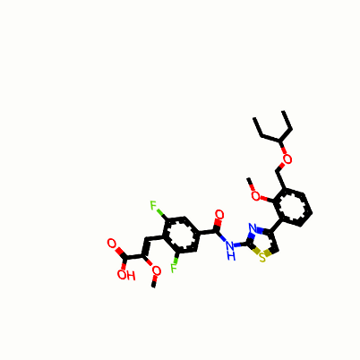 CCC(CC)OCc1cccc(-c2csc(NC(=O)c3cc(F)c(/C=C(\OC)C(=O)O)c(F)c3)n2)c1OC